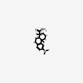 CN(C)c1ccc2c(c1)C1(C)CCCC(C)(C(N)=O)C1CC2